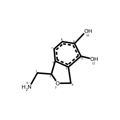 NCC1OCc2c1ccc(O)c2O